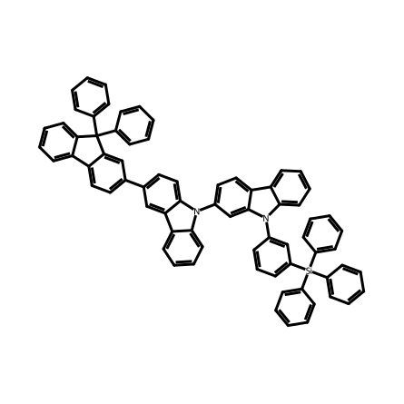 c1ccc(C2(c3ccccc3)c3ccccc3-c3ccc(-c4ccc5c(c4)c4ccccc4n5-c4ccc5c6ccccc6n(-c6cccc([Si](c7ccccc7)(c7ccccc7)c7ccccc7)c6)c5c4)cc32)cc1